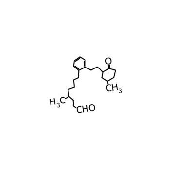 CC(CCC=O)CCCCc1ccccc1CCC1CC(C)CCC1=O